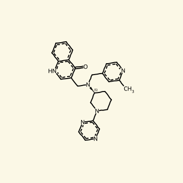 Cc1cc(CN(Cc2c[nH]c3ccccc3c2=O)[C@H]2CCCN(c3cnccn3)C2)ccn1